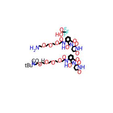 CC(C)(C)N(CCOCCOCCOCCOCC(=O)Nc1cccc2c1C(=O)N(C1CCC(=O)NC1=O)C2=O)C(=O)O.NCCOCCOCCOCC(=O)Nc1cccc2c1C(=O)N(C1CCC(=O)NC1=O)C2=O.O=C(O)C(F)(F)F